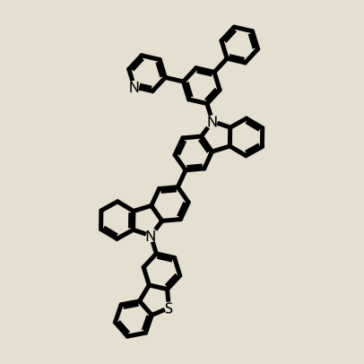 C1=CC2c3cc(C4=CC5C6=C(C=CCC6)N(C6=CC=C7Sc8ccccc8C7C6)C5C=C4)ccc3N(c3cc(-c4ccccc4)cc(-c4cccnc4)c3)C2C=C1